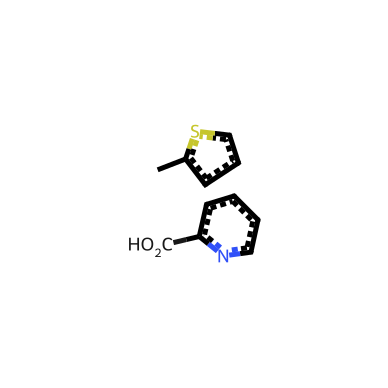 Cc1cccs1.O=C(O)c1ccccn1